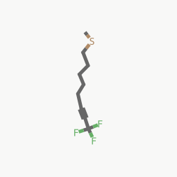 CSCCCCCC#CC(F)(F)F